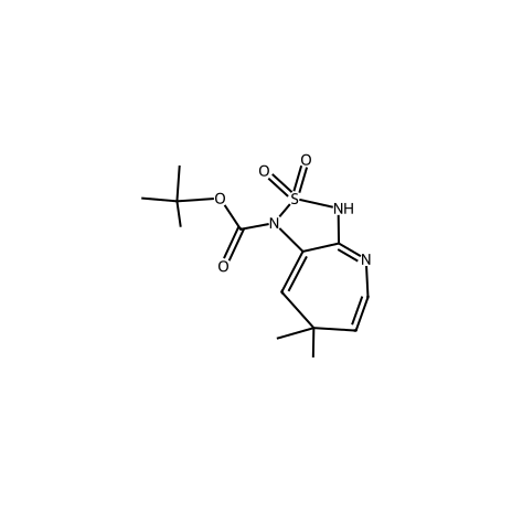 CC1(C)C=CN=C2NS(=O)(=O)N(C(=O)OC(C)(C)C)C2=C1